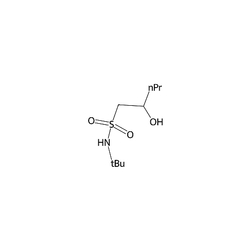 CCCC(O)CS(=O)(=O)NC(C)(C)C